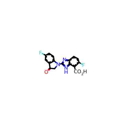 O=C1CN(c2nc3ccc(F)c(C(=O)O)c3[nH]2)c2ccc(F)cc21